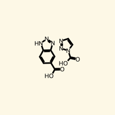 O=C(O)c1ccc2[nH]nnc2c1.O=C(O)n1ccnn1